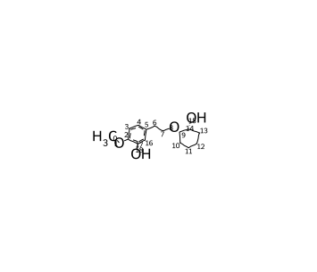 COc1ccc(CCOC2CCCC[C@H]2O)cc1O